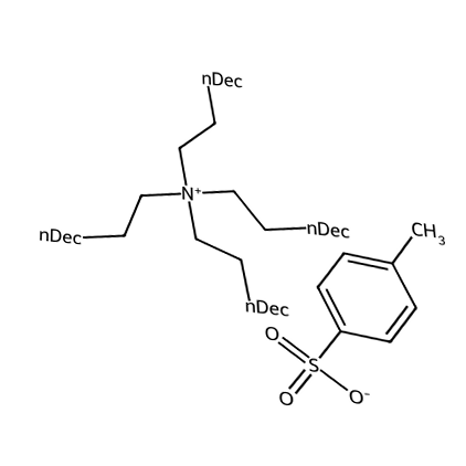 CCCCCCCCCCCC[N+](CCCCCCCCCCCC)(CCCCCCCCCCCC)CCCCCCCCCCCC.Cc1ccc(S(=O)(=O)[O-])cc1